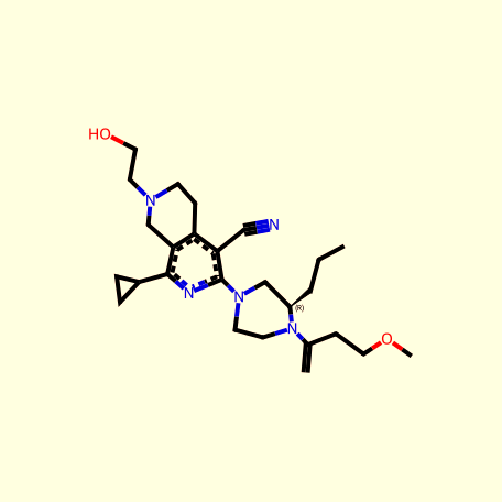 C=C(CCOC)N1CCN(c2nc(C3CC3)c3c(c2C#N)CCN(CCO)C3)C[C@H]1CCC